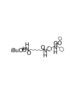 CC(C)CO[C@H](C)ONC(=O)CCCCCCC(=O)Nc1ccc(CNC(C(=O)OC2CCCC2)C2CCCCC2)cc1